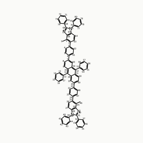 Cc1c(-c2ccc(-c3ccc4c(-c5ccccc5)c5cc(-c6ccc(-c7ccc8c(nc(-c9ccccc9)n8-c8ccccc8)c7C)cc6)ccc5c(-c5ccccc5)c4c3)cc2)ccc2c1nc(-c1ccccc1)n2-c1ccccc1